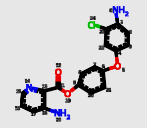 Nc1ccc(Oc2ccc(OC(=O)c3ncccc3N)cc2)cc1Cl